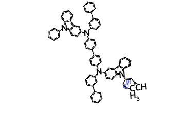 C#C/C=C(\C=C/C)n1c2c#cccc2c2cc(N(c3ccc(-c4ccc(N(c5cccc(-c6ccccc6)c5)c5ccc6c(c5)c5ccccc5n6-c5ccccc5)cc4)cc3)c3cccc(-c4ccccc4)c3)ccc21